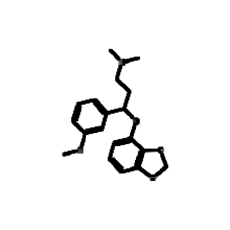 COc1cccc(C(CCN(C)C)Oc2cccc3c2OCO3)c1